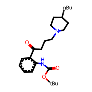 CCCCC1CCN(CCCC(=O)c2ccccc2NC(=O)OC(C)(C)C)CC1